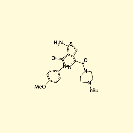 CCCCN1CCN(C(=O)c2nn(-c3ccc(OC)cc3)c(=O)c3c(N)scc23)CC1